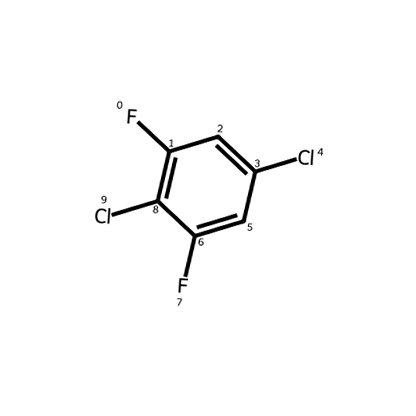 Fc1cc(Cl)cc(F)c1Cl